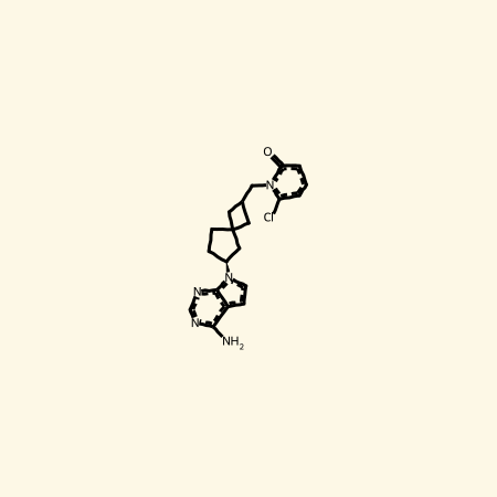 Nc1ncnc2c1ccn2[C@H]1CCC2(CC(Cn3c(Cl)cccc3=O)C2)C1